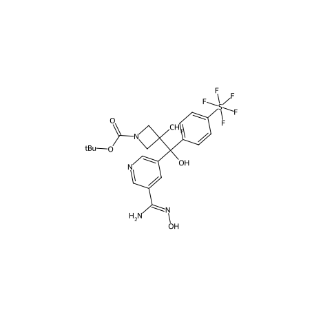 CC(C)(C)OC(=O)N1CC(C)(C(O)(c2ccc(S(F)(F)(F)(F)F)cc2)c2cncc(C(N)=NO)c2)C1